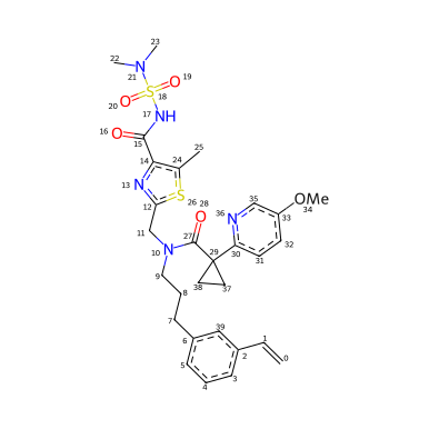 C=Cc1cccc(CCCN(Cc2nc(C(=O)NS(=O)(=O)N(C)C)c(C)s2)C(=O)C2(c3ccc(OC)cn3)CC2)c1